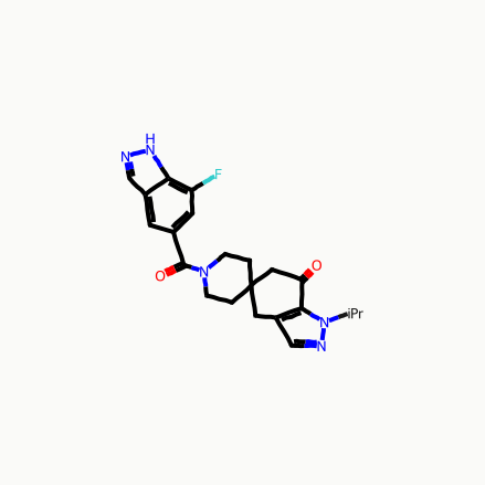 CC(C)n1ncc2c1C(=O)CC1(CCN(C(=O)c3cc(F)c4[nH]ncc4c3)CC1)C2